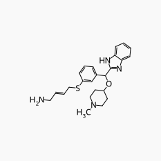 CN1CCC(OC(c2cccc(SCC=CCN)c2)c2nc3ccccc3[nH]2)CC1